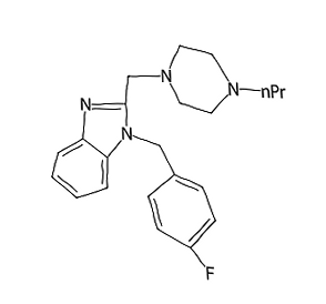 CCCN1CCN(Cc2nc3ccccc3n2Cc2ccc(F)cc2)CC1